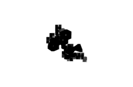 Cc1cccc2cc(Cn3nc(C4CC4)c4c(N)ncnc43)c(-c3ccccc3C(F)(F)F)nc12